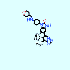 Cc1c(-c2cc3[nH]c(=O)n([C@H]4CC[C@@H](NCC5CCOCC5)CC4)c3cc2C(C)C)cn2ncnc2c1C